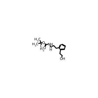 CC(C)(C)OC(=O)NNCCc1ccccc1CCO